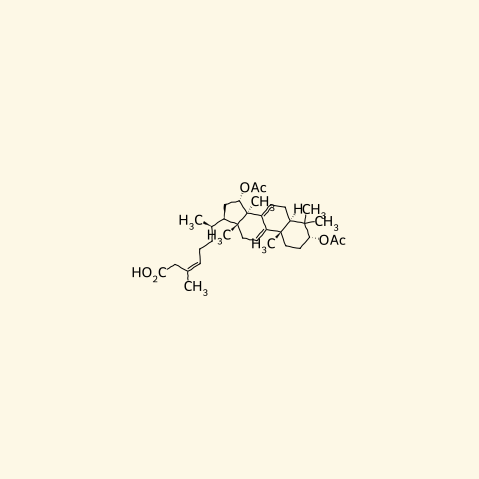 CC(=O)O[C@H]1C[C@H]([C@H](C)CC/C=C(/C)CC(=O)O)[C@@]2(C)CC=C3C(=CC[C@H]4C(C)(C)[C@H](OC(C)=O)CC[C@]34C)[C@]12C